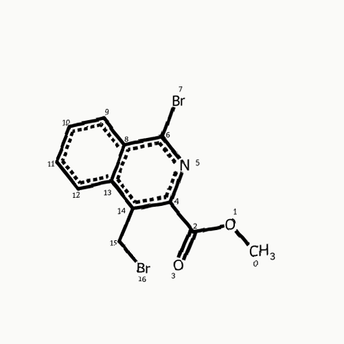 COC(=O)c1nc(Br)c2ccccc2c1CBr